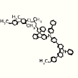 C=Cc1ccc(-c2ccc3c(c2)c2cc(-c4ccc(N(c5ccc(-c6ccccc6)cc5)c5ccc6c(c5)C(CCCCC(C)COc5cc(C)c(-c7ccc(C=C)cc7)cc5C)(c5ccccc5)c5ccccc5-6)cc4)ccc2n3-c2ccccc2)cc1